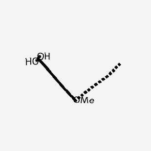 C=C.C=C.C=C.C=C.C=C.C=C.C=C.C=C.C=C.C=C.C=C.C=C.C=C.C=C.C=C.C=C.C=C.C=C.C=C.C=C.C=C.C=C.C=C.C=C.C=C.C=C.C=C.C=C.C=C.C=C.C=C.C=C.C=C.C=C.C=C.C=C.C=C.C=C.C=C.C=C.C=C.C=C.C=C.C=C.C=C.COC.OCCO